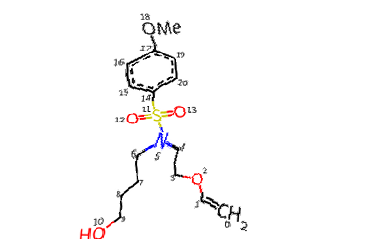 C=COCCN(CCCCO)S(=O)(=O)c1ccc(OC)cc1